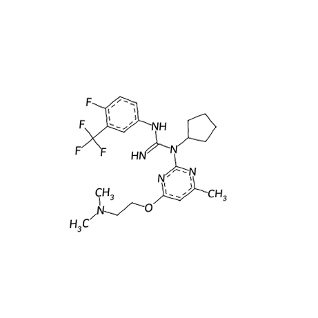 Cc1cc(OCCN(C)C)nc(N(C(=N)Nc2ccc(F)c(C(F)(F)F)c2)C2CCCC2)n1